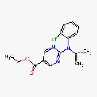 C=C(C)N(c1ncc(C(=O)OCC)cn1)c1ccccc1Cl